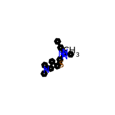 CN1C(c2ccccc2)=NC(c2ccc3c(c2)sc2cccc(-c4ccccc4-c4cccc5c4c4ccccc4n5-c4ccccc4)c23)=NC1c1ccc(-c2ccccc2)cc1